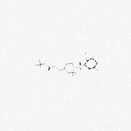 COc1c(F)cc(Br)cc1S(=O)(=O)N1CCC(NNC(=O)OC(C)(C)C)CC1(C)C